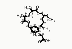 C=C(C)C(=O)OCC(CC)CCCC.C=C(C)C(=O)OCc1ccccc1.C=CC(=O)O